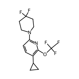 FC1(F)CCN(c2ccc(C3CC3)c(OC(F)(F)F)n2)CC1